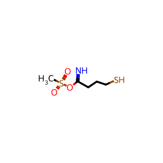 CS(=O)(=O)OC(=N)CCCS